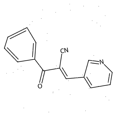 N#C/C(=C\c1cccnc1)C(=O)c1ccccc1